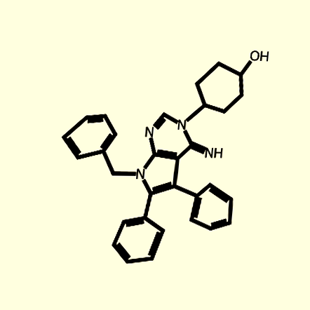 N=c1c2c(-c3ccccc3)c(-c3ccccc3)n(Cc3ccccc3)c2ncn1C1CCC(O)CC1